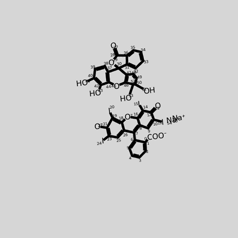 O=C([O-])c1ccccc1-c1c2cc(I)c(=O)c(I)c-2oc2c(I)c([O-])c(I)cc12.O=C1OC2(c3ccccc31)c1ccc(O)c(O)c1Oc1c2ccc(O)c1O.[Na+].[Na+]